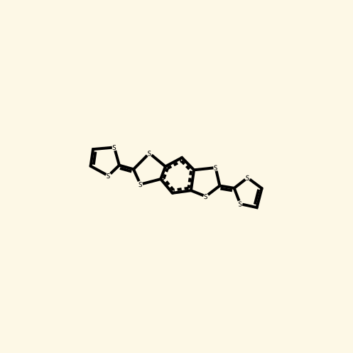 C1=CSC(=C2Sc3cc4c(cc3S2)SC(=C2SC=CS2)S4)S1